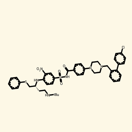 CC(C)(C)NCC[C@H](CSc1ccccc1)Nc1ccc(S(=O)(=O)NC(=O)c2ccc(N3CCN(Cc4ccccc4-c4ccc(Cl)cc4)CC3)cc2)cc1[N+](=O)[O-]